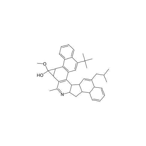 COC1(O)C2C3=C(c4cc(C(C)(C)C)c5ccccc5c4C21)C1C(CC2C4C=CC=CC4C(CC(C)C)=CC21)N=C3C